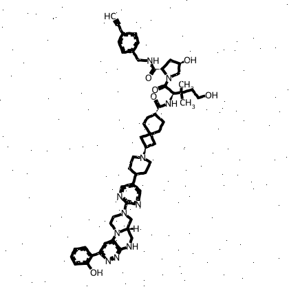 C#Cc1ccc(CNC(=O)[C@@H]2C[C@@H](O)CN2C(=O)[C@H](NC(=O)[C@H]2CCC3(CC2)C[C@H](N2CCC(c4cnc(N5CCN6c7cc(-c8ccccc8O)nnc7NC[C@H]6C5)nc4)CC2)C3)C(C)(C)CCO)cc1